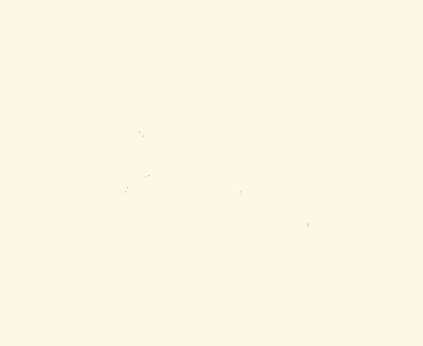 Cc1cc(C2CC2)ncc1-c1cccc(C(=O)CC(=O)OC(C)(C)C)c1